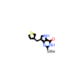 CSc1nc2c(Cc3ccsc3)c[nH]c2c(=O)[nH]1